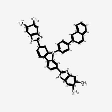 Cc1cc2nc(-c3ccc4c5ccc(-c6nc7cc(C)c(C)cc7o6)cc5n(-c5ccc(-c6ccc7ccccc7c6)cc5)c4c3)oc2cc1C